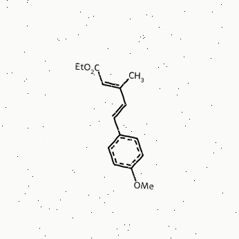 CCOC(=O)C=C(C)C=Cc1ccc(OC)cc1